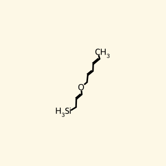 CC=CC=CCOC=CC[SiH3]